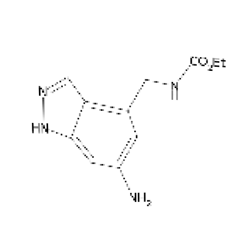 CCOC(=O)NCc1cc(N)cc2[nH]ncc12